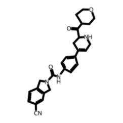 N#Cc1ccc2c(c1)CN(C(=O)Nc1ccc(C3=CCNC(C(=O)C4CCOCC4)C3)cc1)C2